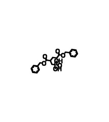 O=C(CCC(CP(=O)(O)O)C(=O)OCc1ccccc1)OCc1ccccc1